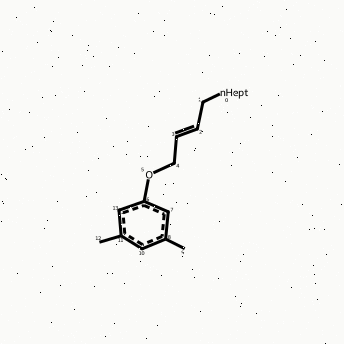 CCCCCCCC/C=C/COc1cc(C)cc(C)c1